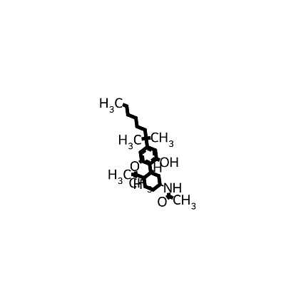 CCCCCCC(C)(C)c1cc(O)c2c(c1)OC(C)(C)[C@@H]1CC[C@@H](NC(C)=O)C[C@@H]21